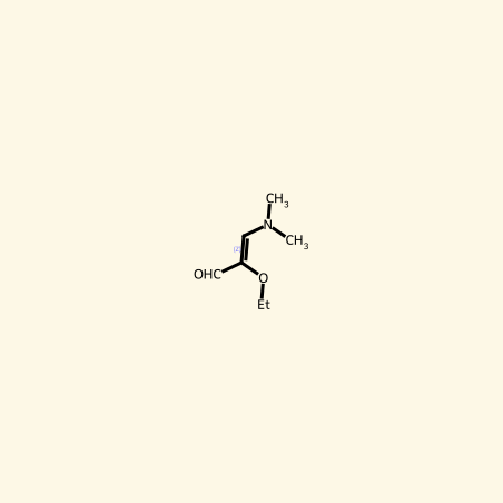 CCO/C(C=O)=C\N(C)C